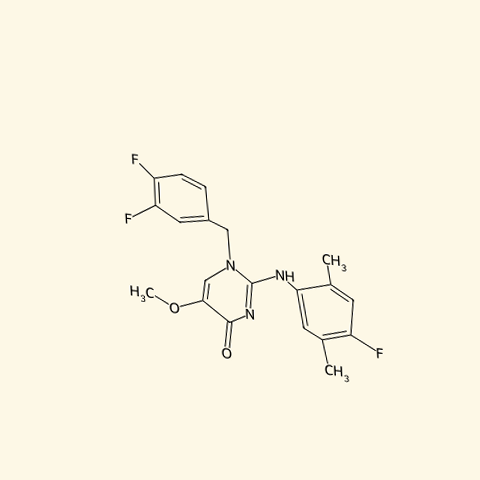 COc1cn(Cc2ccc(F)c(F)c2)c(Nc2cc(C)c(F)cc2C)nc1=O